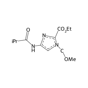 CCOC(=O)c1nc(NC(=O)C(C)C)cn1COC